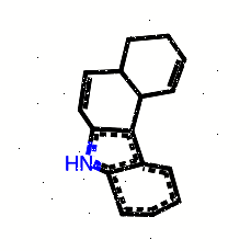 C1=CC2c3c([nH]c4ccccc34)C=CC2CC1